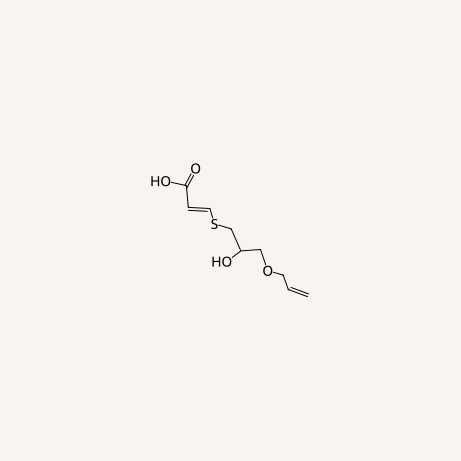 C=CCOCC(O)CSC=CC(=O)O